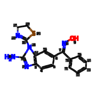 Nc1nc2ccc(C(=NO)c3ccccc3)cc2n1C1=NCCS1